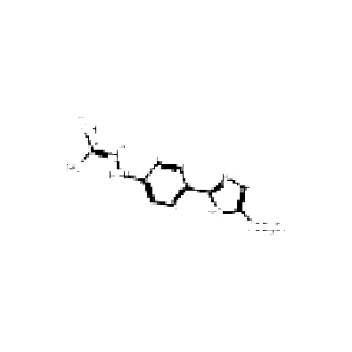 CCOC(=O)c1cnc(-c2ccc(NN=C(C#N)C#N)cc2)s1